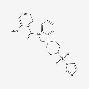 COc1ccccc1C(=O)NCC1(c2ccccc2)CCN(S(=O)(=O)n2ccnc2)CC1